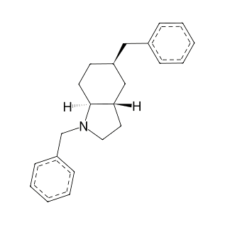 c1ccc(C[C@@H]2CC[C@H]3[C@@H](CCN3Cc3ccccc3)C2)cc1